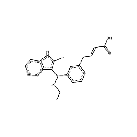 CCNC(c1cccc(CC=CC(=O)O)c1)c1c(C)[nH]c2ccccc12